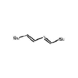 CC(C)(C)/C=C/N=C/C(C)(C)C